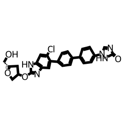 O=c1ncn(-c2ccc(-c3ccc(-c4cc5nc(OC6CO[C@H](CO)C6)[nH]c5cc4Cl)cc3)cc2)[nH]1